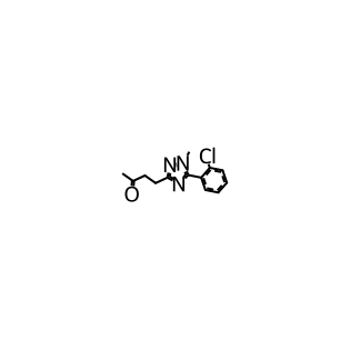 CC(=O)CCc1nc(-c2ccccc2Cl)n(C)n1